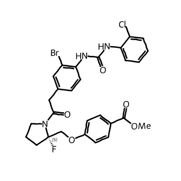 COC(=O)c1ccc(OC[C@@]2(F)CCCN2C(=O)Cc2ccc(NC(=O)Nc3ccccc3Cl)c(Br)c2)cc1